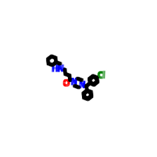 O=C(CCCNCC1CCCCC1)N1CCN(C(c2ccccc2)c2ccc(Cl)cc2)CC1